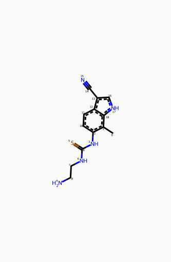 Cc1c(NC(=S)NCCN)ccc2c(C#N)c[nH]c12